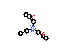 c1ccc(-c2ccc(-c3nc(-c4ccc(-c5cc6ccccc6o5)cc4)nc(-c4ccc5oc6cc7ccccc7cc6c5c4)n3)cc2)cc1